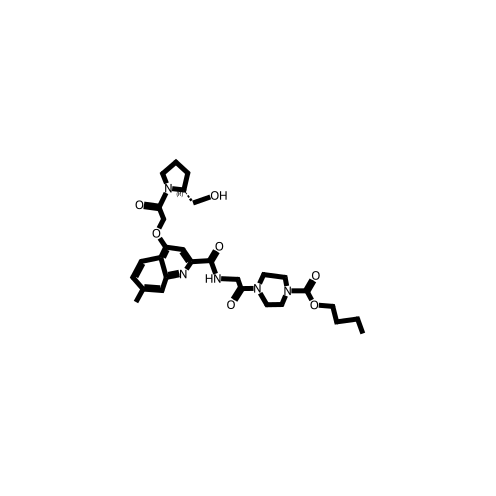 CCCCOC(=O)N1CCN(C(=O)CNC(=O)c2cc(OCC(=O)N3CCC[C@@H]3CO)c3ccc(C)cc3n2)CC1